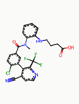 CN(C(=O)c1ccc(Cl)c(-c2c(C#N)ccnc2C(F)(F)F)c1)c1ccccc1NCCCC(=O)O